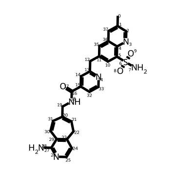 Cc1cnc2c(S(N)(=O)=O)cc(Cc3cc(C(=O)NCC4=CCc5ccnc(N)c5C=C4)ccn3)cc2c1